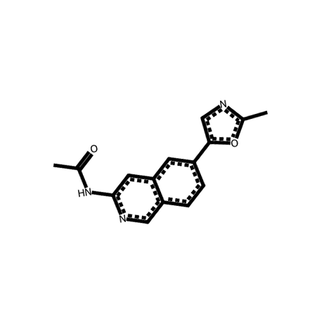 CC(=O)Nc1cc2cc(-c3cnc(C)o3)ccc2cn1